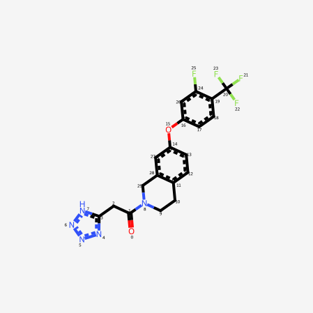 O=C(Cc1nnn[nH]1)N1CCc2ccc(Oc3ccc(C(F)(F)F)c(F)c3)cc2C1